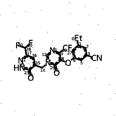 CCc1cc(C#N)cc(Oc2c(C(F)(F)F)ncn(Cc3cc(C(F)F)n[nH]c3=O)c2=O)c1